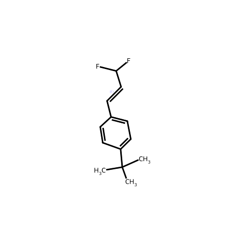 CC(C)(C)c1ccc(/C=C/C(F)F)cc1